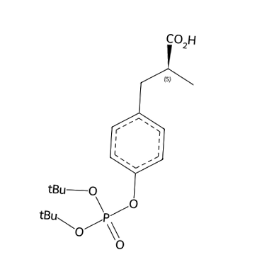 C[C@@H](Cc1ccc(OP(=O)(OC(C)(C)C)OC(C)(C)C)cc1)C(=O)O